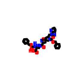 O=C(NC(CNC(=O)C1=NO[C@]2(C1)CC(CNc1ccccn1)N(C(=O)OCc1ccccc1)C2)C(=O)O)OCc1ccccc1